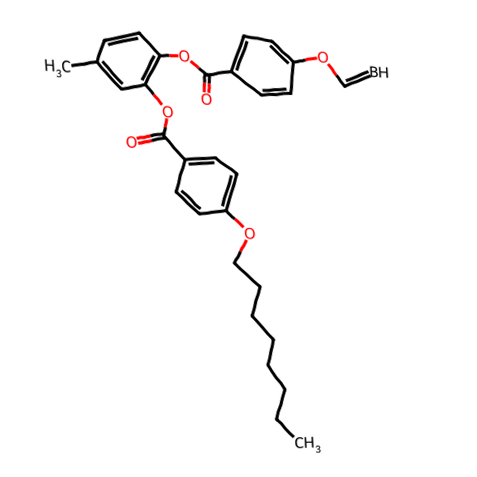 B=COc1ccc(C(=O)Oc2ccc(C)cc2OC(=O)c2ccc(OCCCCCCCC)cc2)cc1